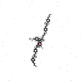 CCCCc1ccc(OC(=O)/C=C/c2ccc(OCCCCOC(=O)C(Cc3ccc(N)cc3)(Cc3ccc(N)cc3)C(=O)OCCCCOc3ccc(/C=C/C(=O)Oc4ccc(CCCC)cc4)cc3)cc2)cc1